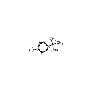 CC(C)(C)C(C)(C)c1ccc(O)cc1